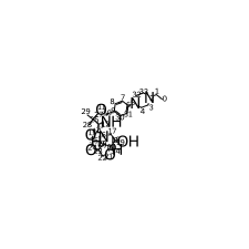 CCN1CCN(c2ccc(C(=O)NC(C(=O)N3C[C@H](O)[C@H]4OCC(=O)[C@H]43)C(C)(C)C)cc2)CC1